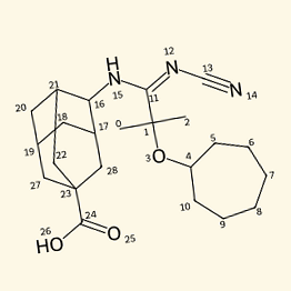 CC(C)(OC1CCCCCC1)/C(=N\C#N)NC1C2CC3CC1CC(C(=O)O)(C3)C2